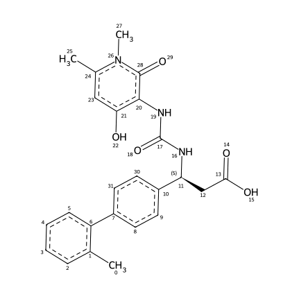 Cc1ccccc1-c1ccc([C@H](CC(=O)O)NC(=O)Nc2c(O)cc(C)n(C)c2=O)cc1